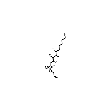 C=CCOS(=O)(=O)CC(F)C(F)C(F)C(F)CCCCCF